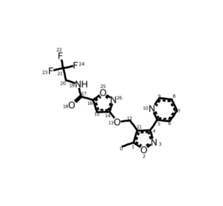 Cc1onc(-c2ccccn2)c1COc1cc(C(=O)NCC(F)(F)F)on1